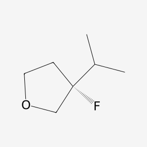 CC(C)[C@]1(F)CCOC1